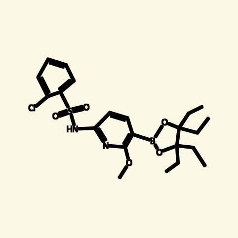 CCC1(CC)OB(c2ccc(NS(=O)(=O)c3ccccc3Cl)nc2OC)OC1(CC)CC